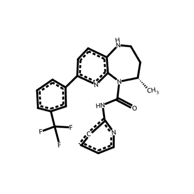 C[C@H]1CCNc2ccc(-c3cccc(C(F)(F)F)c3)nc2N1C(=O)Nc1ccccn1